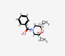 C[C@@H]1CN(C(=O)c2ccccc2)C[C@H](C)O1